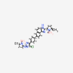 BN1[C@@H](CC)CC[C@H]1c1nc(-c2ccc(-c3ccc4c(ccc5[nH]c([C@@H]6CC[C@H](C)N6B)nc54)c3)cc2)c(Cl)[nH]1